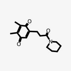 CC1=C(C)C(=O)C(CCC(=O)N2CCCCC2)=CC1=O